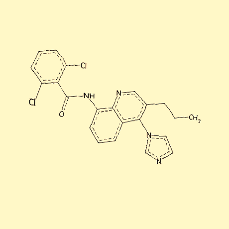 CCCc1cnc2c(NC(=O)c3c(Cl)cccc3Cl)cccc2c1-n1ccnc1